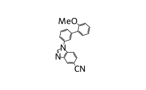 COc1ccccc1-c1cccc(-n2cnc3cc(C#N)ccc32)c1